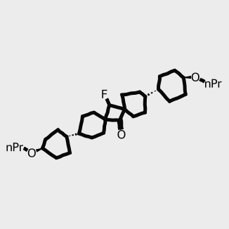 CCCO[C@H]1CC[C@H](C2CCC3(CC2)C(=O)C2(CCC([C@H]4CC[C@H](OCCC)CC4)CC2)C3F)CC1